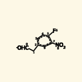 O=[C]Cc1ccc(F)c([N+](=O)[O-])c1